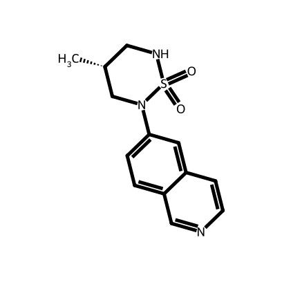 C[C@@H]1CNS(=O)(=O)N(c2ccc3cnccc3c2)C1